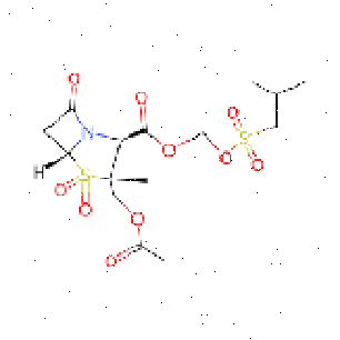 CC(=O)OC[C@@]1(C)[C@H](C(=O)OCOS(=O)(=O)CC(C)C)N2C(=O)C[C@H]2S1(=O)=O